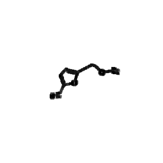 CCOCc1ccc(C=O)o1